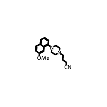 COc1ccc2cccc(N3CCN(CCCC#N)CC3)c2c1